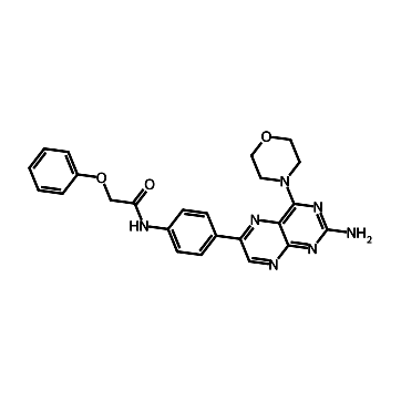 Nc1nc(N2CCOCC2)c2nc(-c3ccc(NC(=O)COc4ccccc4)cc3)cnc2n1